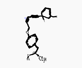 CCO[C@@H](Cc1ccc(OC/C=C\C#CC2(I)C=CC=C(I)C2)cc1)C(=O)O